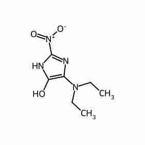 CCN(CC)c1nc([N+](=O)[O-])[nH]c1O